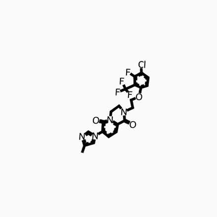 Cc1cn(-c2ccc3n(c2=O)CCN(CCOc2ccc(Cl)c(F)c2C(F)(F)F)C3=O)cn1